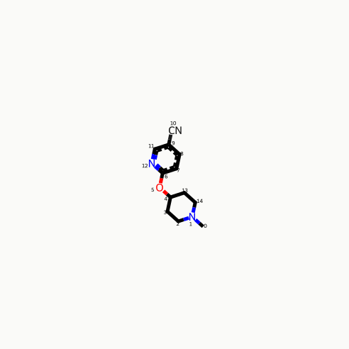 CN1CCC(Oc2ccc(C#N)cn2)CC1